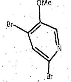 COc1cnc(Br)cc1Br